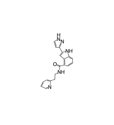 O=C(NCCc1ccccn1)c1cccc2[nH]c(-c3cc[nH]n3)cc12